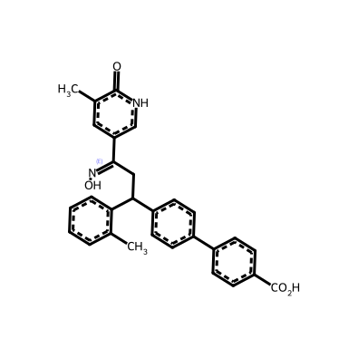 Cc1ccccc1C(C/C(=N\O)c1c[nH]c(=O)c(C)c1)c1ccc(-c2ccc(C(=O)O)cc2)cc1